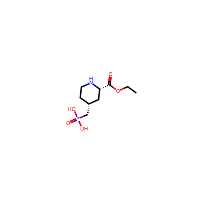 CCOC(=O)[C@@H]1C[C@H](CP(=O)(O)O)CCN1